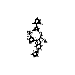 Cc1cccc(C)c1-c1cc2nc(n1)NS(=O)(=O)c1cccc(c1)C(=O)N(CC1CCN(c3ncccn3)CC1)[C@H](CC(C)(C)C)CO2